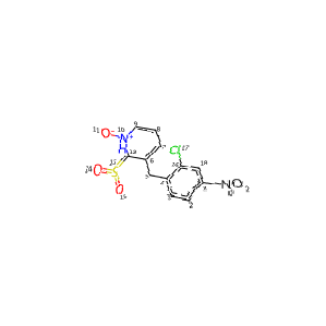 O=[N+]([O-])c1ccc(CC2=CC=C[NH+]([O-])C2=S(=O)=O)c(Cl)c1